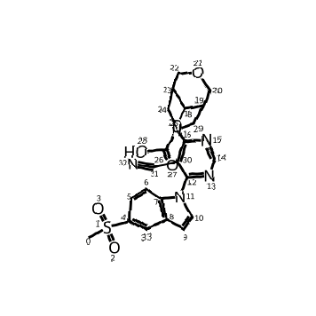 CS(=O)(=O)c1ccc2c(ccn2-c2ncnc(OC3C4COCC3CN(C(=O)O)C4)c2C#N)c1